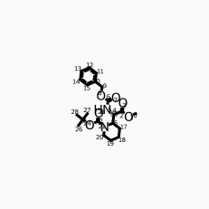 COC(=O)[C@@H](NC(=O)OCc1ccccc1)C1CCCCN1C(=O)OC(C)(C)C